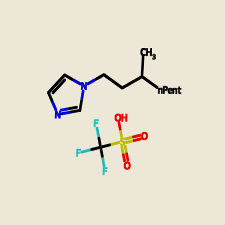 CCCCCC(C)CCn1ccnc1.O=S(=O)(O)C(F)(F)F